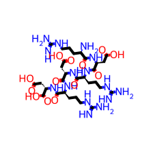 N=C(N)NCCC[C@H](NC(=O)[C@H](CC(=O)O)NC(=O)[C@H](CCCNC(=N)N)NC(=O)[C@H](CC(=O)O)NC(=O)[C@@H](N)CCCNC(=N)N)C(=O)N[C@@H](CC(=O)O)C(=O)O